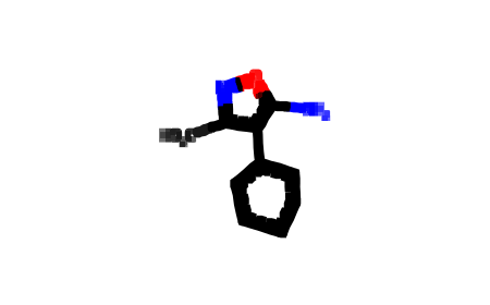 Nc1onc(C(=O)O)c1-c1ccccc1